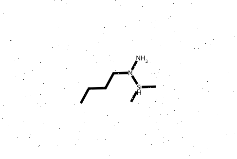 CCCCN(N)[SiH](C)C